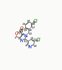 O=C1OCc2nc(-c3cncc(Cl)c3)n(Cc3cc(Cl)ccc3Cl)c21